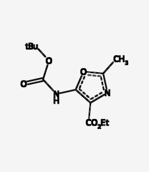 CCOC(=O)c1nc(C)oc1NC(=O)OC(C)(C)C